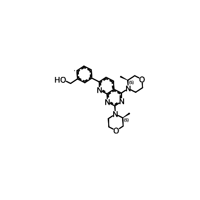 C[C@H]1COCCN1c1nc(N2CCOC[C@@H]2C)c2ccc(-c3cc[c]c(CO)c3)nc2n1